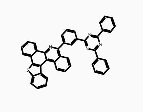 c1ccc(-c2nc(-c3ccccc3)nc(-c3cccc(-c4nc5c6ccccc6c6sc7ccccc7c6c5c5ccccc45)c3)n2)cc1